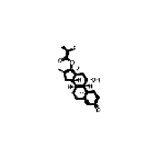 CC(F)C(=O)O[C@@H]1[C@H](C)C[C@H]2[C@@H]3CCC4=CC(=O)CC[C@]4(C)[C@H]3[C@@H](O)C[C@]12C